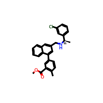 COC(=O)c1cc(-c2cc(CN[C@H](C)c3cccc(Cl)c3)cc3ccccc23)ccc1C